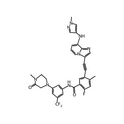 Cc1cc(F)c(C(=O)Nc2cc(N3CCN(C)C(=O)C3)cc(C(F)(F)F)c2)cc1C#Cc1cnc2c(Nc3cnn(C)c3)cccn12